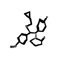 COc1ccc([C@@H](OCC2CC2)[C@H](c2ccc(F)cc2)N2CCCC2=O)cc1